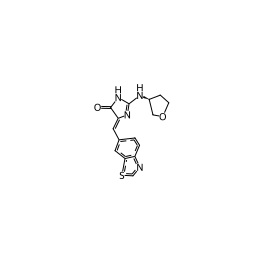 O=C1NC(N[C@H]2CCOC2)=N/C1=C\c1ccc2ncsc2c1